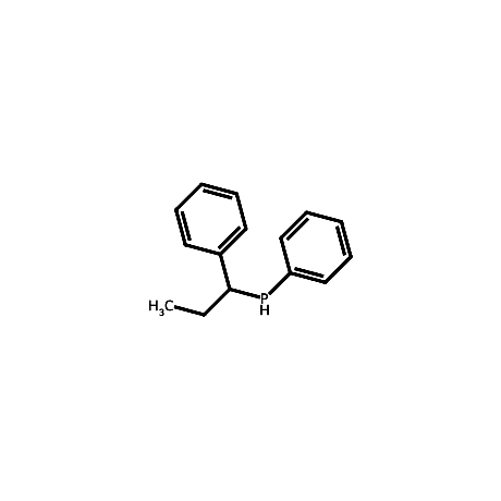 CCC(Pc1ccccc1)c1ccccc1